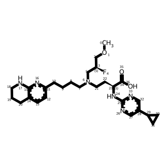 COC[C@@H](F)CN(CCCCc1ccc2c(n1)NCCC2)CC[C@H](Nc1ncc(C2CC2)cn1)C(=O)O